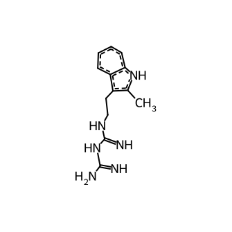 Cc1[nH]c2ccccc2c1CCNC(=N)NC(=N)N